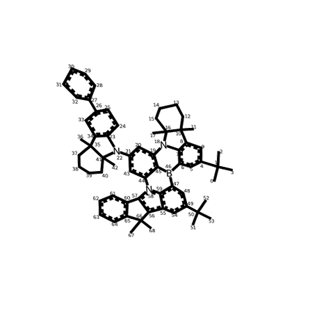 CC(C)(C)c1cc2c3c(c1)C1(C)CCCCC1(C)N3c1cc(N3c4ccc(-c5ccccc5)cc4C4(C)CCCCC34C)cc3c1B2c1cc(C(C)(C)C)cc2c4c(n-3c12)-c1ccccc1C4(C)C